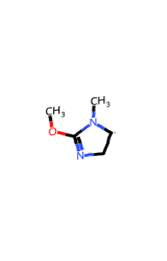 COC1=NC[CH]N1C